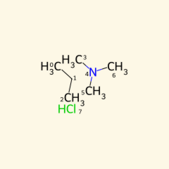 CCC.CN(C)C.Cl